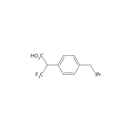 CC(C)Cc1ccc(C(C(=O)O)C(F)(F)F)cc1